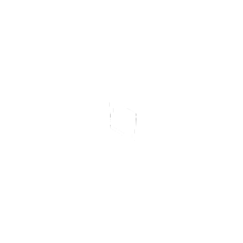 C=CCl.O=C(O)CF